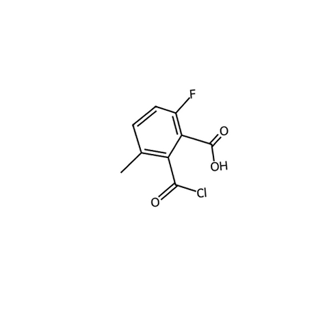 Cc1ccc(F)c(C(=O)O)c1C(=O)Cl